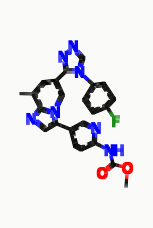 COC(=O)Nc1ccc(-c2cnc3c(C)cc(-c4nncn4-c4ccc(F)cc4)cn23)cn1